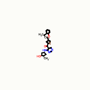 [CH2][C@@H]1C[C@@H](Nc2ncncc2C(=O)c2cc(COc3ccccc3C(C)C)cs2)C[C@@H]1O